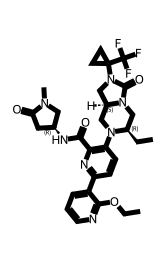 CCOc1ncccc1-c1ccc(N2C[C@H]3CN(C4(C(F)(F)F)CC4)C(=O)N3C[C@H]2CC)c(C(=O)N[C@@H]2CC(=O)N(C)C2)n1